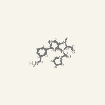 CN1c2cnc(-c3cccc(CN)c3)nc2N(C(=O)N2CCCC2)C1C=O